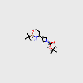 CC[C@H](N[S@+]([O-])C(C)(C)C)C1CN(C(=O)OC(C)(C)C)C1